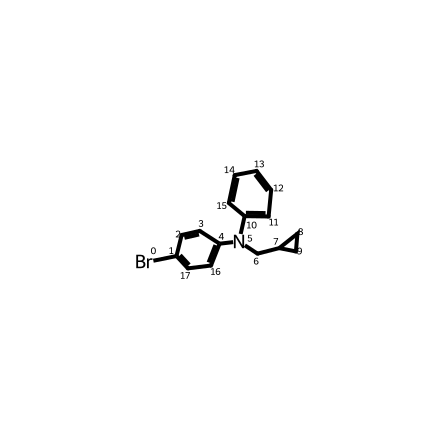 Brc1ccc(N(CC2CC2)c2ccccc2)cc1